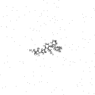 [2H]C([2H])([2H])NC(=O)c1nnccc1Nc1cccc(-c2ncc(CC(=O)N(C)C)o2)c1OC